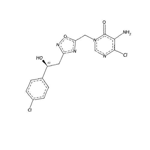 Nc1c(Cl)ncn(Cc2nc(C[C@H](O)c3ccc(Cl)cc3)no2)c1=O